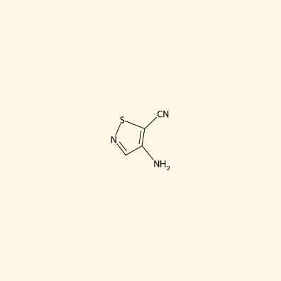 N#Cc1sncc1N